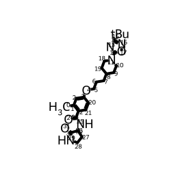 Cc1cc(OCCCC2CCN(c3nc(C(C)(C)C)no3)CC2)ccc1C(=O)N[C@H]1CCNC1=O